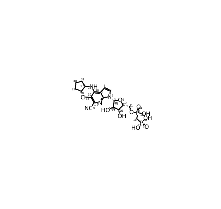 N#Cc1nc2c(ccn2[C@@H]2O[C@H](COP(=O)(O)CP(=O)(O)O)[C@@H](O)[C@H]2O)c(NC2CCCC2)c1Cl